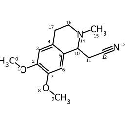 COc1cc2c(cc1OC)C(CC#N)N(C)CC2